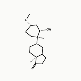 C=C1CCC2CC([C@@]3(C)CC[C@H](OC)C[C@@H]3O)CC[C@]12C